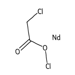 O=C(CCl)OCl.[Nd]